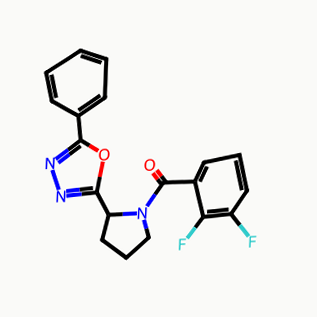 O=C(c1cccc(F)c1F)N1CCCC1c1nnc(-c2ccccc2)o1